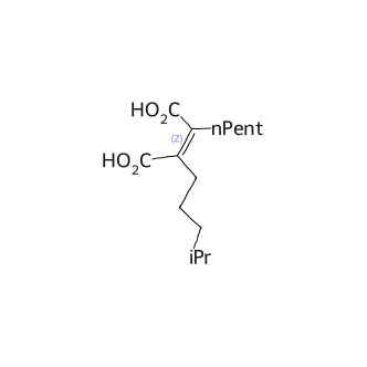 CCCCC/C(C(=O)O)=C(\CCCC(C)C)C(=O)O